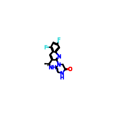 C[C@H](N)c1cc2c(F)cc(F)cc2nc1N1CCNC(=O)C1